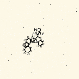 O=C(O)N[C@@H](Cc1ccccc1)C(=O)Nc1ccc2oc3c(c2c1)CCCCC3